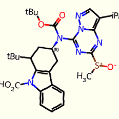 CC(C)c1cnn2c(N(C(=O)OC(C)(C)C)[C@H]3Cc4c(n(C(=O)O)c5ccccc45)C(C(C)(C)C)C3)nc([S+](C)[O-])nc12